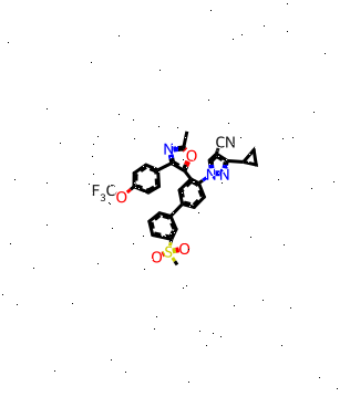 Cc1nc(-c2ccc(OC(F)(F)F)cc2)c(-c2cc(-c3cccc(S(C)(=O)=O)c3)ccc2-n2cc(C#N)c(C3CC3)n2)o1